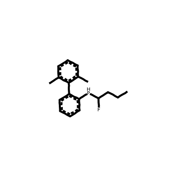 CCCC(F)Pc1ccccc1-c1c(C)cccc1C